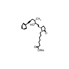 COC(=O)CCCCCCN1C(=O)CC[C@@H]1/C=C/[C@@H](O)[C@@H](C)CC#Cc1ccccc1